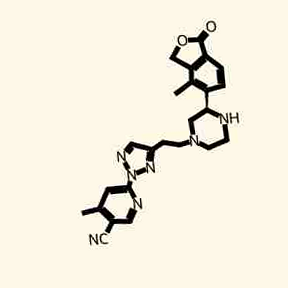 Cc1cc(-n2ncc(CCN3CCN[C@H](c4ccc5c(c4C)COC5=O)C3)n2)ncc1C#N